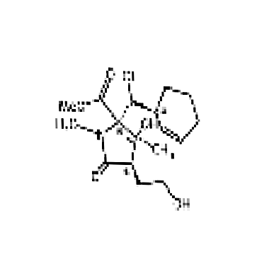 COC(=O)[C@]1(C(O)[C@@H]2C=CCCC2)N(C)C(=O)[C@H](CCO)[C@]1(C)O